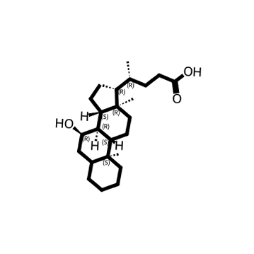 C[C@H](CCC(=O)O)[C@H]1CC[C@H]2[C@@H]3[C@H](O)CC4CCCC[C@]4(C)[C@H]3CC[C@]12C